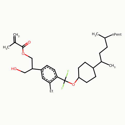 C=C(C)C(=O)OCC(CO)c1ccc(C(F)(F)OC2CCC(C(C)CCC(C)CCCCC)CC2)c(CC)c1